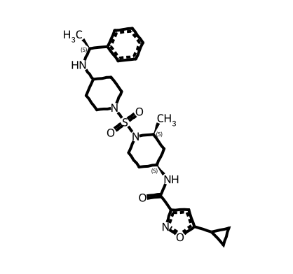 C[C@H](NC1CCN(S(=O)(=O)N2CC[C@H](NC(=O)c3cc(C4CC4)on3)C[C@@H]2C)CC1)c1ccccc1